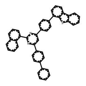 c1ccc(-c2ccc(-c3cc(-c4ccc(-c5cccc6c5sc5ccccc56)cc4)nc(-c4cccc5ccccc45)n3)cc2)cc1